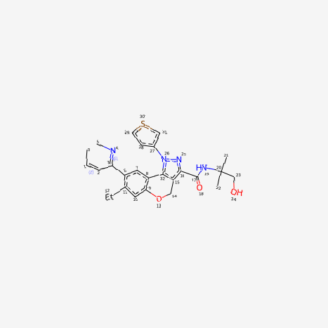 C/C=C\C(=N/C)c1cc2c(cc1CC)OCc1c(C(=O)NC(C)(C)CO)nn(-c3ccsc3)c1-2